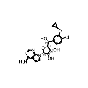 Nc1ncnc2c1ccn2[C@@H]1O[C@H]([C@H](O)c2ccc(Cl)c(OC3CC3)c2)[C@@H](O)[C@H]1O